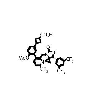 COc1ccc(C2CC(C(=O)O)C2)cc1-c1ccc(C(F)(F)F)nc1CN1C(=O)O[C@H](c2cc(C(F)(F)F)cc(C(F)(F)F)c2)C12CC2